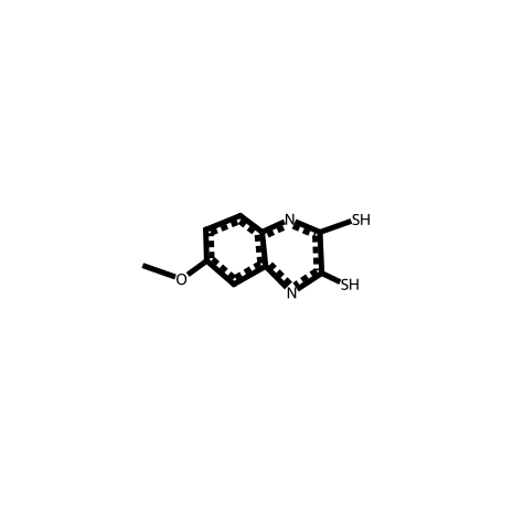 COc1ccc2nc(S)c(S)nc2c1